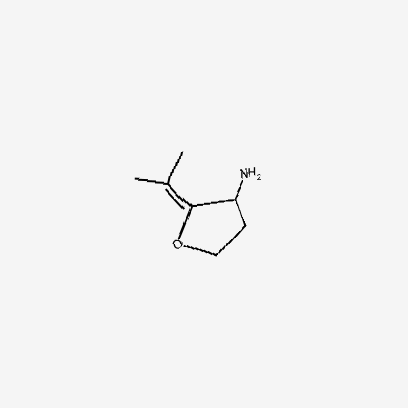 CC(C)=C1OCCC1N